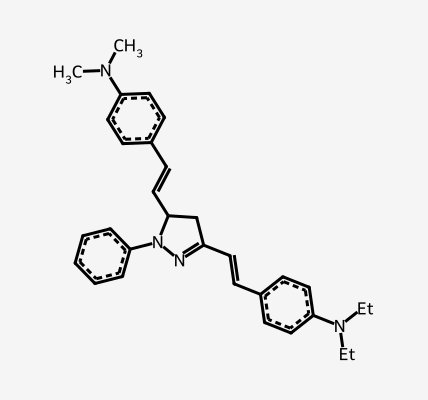 CCN(CC)c1ccc(C=CC2=NN(c3ccccc3)C(C=Cc3ccc(N(C)C)cc3)C2)cc1